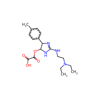 CCN(CC)CCNC1=NC(c2ccc(C)cc2)C(OC(=O)C(=O)O)N1